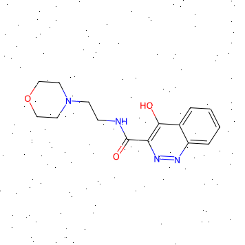 O=C(NCCN1CCOCC1)c1nnc2ccccc2c1O